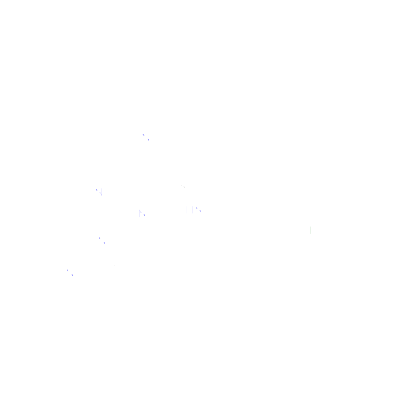 O=C(NC1CCC(C(F)(F)F)CC1)c1nc(-n2ccnc2)nc2cc[nH]c12